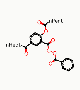 CCCCCCCC(=O)c1ccc(OC(=O)CCCCC)c(C(=O)OOC(=O)c2ccccc2)c1